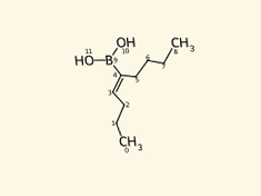 CCC/C=C(\CCCC)B(O)O